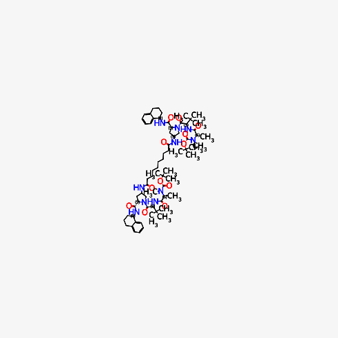 C[C@@H](C(=O)N[C@H](C(=O)N1CC(NC(=O)CCCCCCCCC(=O)N[C@H]2C[C@@H](C(=O)N[C@@H]3CCCc4ccccc43)N(C(=O)[C@@H](NC(=O)[C@H](C)N(C)C(=O)OC(C)(C)C)C(C)(C)C)C2)C[C@H]1C(=O)N[C@@H]1CCCc2ccccc21)C(C)(C)C)N(C)C(=O)OC(C)(C)C